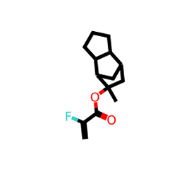 C=C(F)C(=O)OC1(C)CC2CC1C1CCCC21